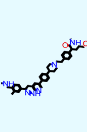 CNCc1ccc(C2=NNc3ncc(-c4ccc(C5CCN(CCc6ccc(C(CCC=O)C(=O)NC)cc6)CC5)cc4)cc3C2)cc1C